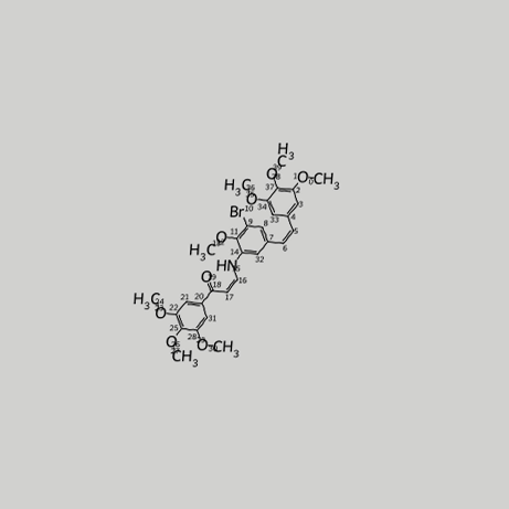 COc1cc(/C=C\c2cc(Br)c(OC)c(N/C=C\C(=O)c3cc(OC)c(OC)c(OC)c3)c2)cc(OC)c1OC